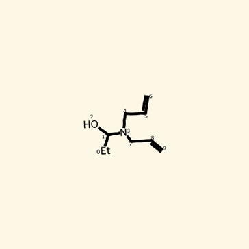 [CH2]CC(O)N(CC=C)CC=C